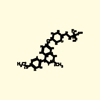 CSc1ccc(C2CN(C)Cc3cc(OC4CCN(CCC(F)(F)F)CC4)ccc32)cc1